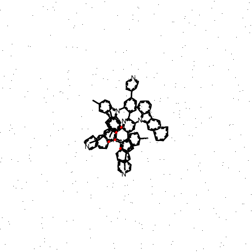 Cc1ccc2c(c1)c1cc(C)ccc1n2-c1cc(-c2ccncc2)ccc1-c1cc(-n2c3ccccc3c3cc4ccccc4cc32)c(-c2ccc(-c3ccncc3)cc2-n2c3ccc(C)cc3c3cc(C)ccc32)nc1-c1ccc(-c2ccncc2)cc1-n1c2ccc(C)cc2c2cc(C)ccc21